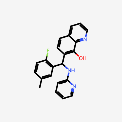 Cc1ccc(F)c(C(Nc2ccccn2)c2ccc3cccnc3c2O)c1